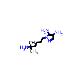 CC(C)(N)CCCCn1ncc(N)c1N